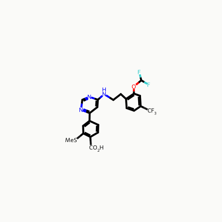 CSc1cc(-c2cc(NCCc3ccc(C(F)(F)F)cc3OC(F)F)ncn2)ccc1C(=O)O